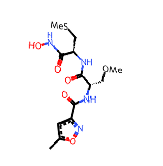 COC[C@H](NC(=O)c1cc(C)on1)C(=O)N[C@H](CSC)C(=O)NO